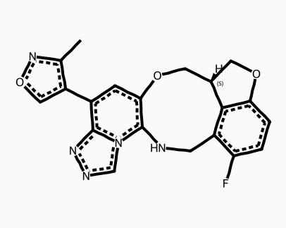 Cc1nocc1-c1cc2c(n3cnnc13)NCc1c(F)ccc3c1[C@@H](CO3)CO2